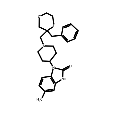 Cc1ccc2c(c1)[nH]c(=O)n2C1CCN(CC2(Cc3ccccc3)COCCO2)CC1